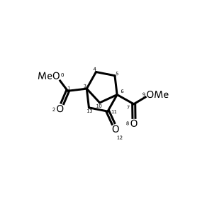 COC(=O)C12CCC(C(=O)OC)(C1)C(=O)C2